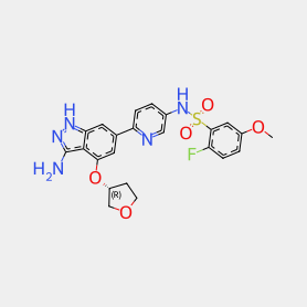 COc1ccc(F)c(S(=O)(=O)Nc2ccc(-c3cc(O[C@@H]4CCOC4)c4c(N)n[nH]c4c3)nc2)c1